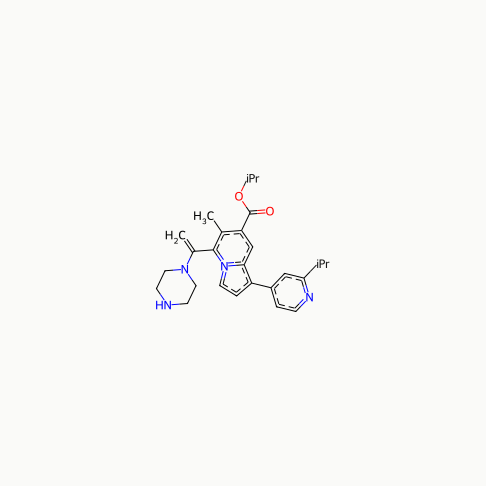 C=C(c1c(C)c(C(=O)OC(C)C)cc2c(-c3ccnc(C(C)C)c3)ccn12)N1CCNCC1